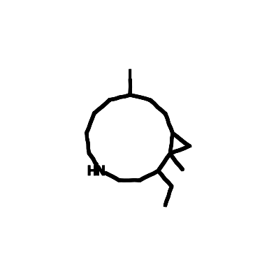 CCC1CCNCCCCC(I)CCC2CC12C